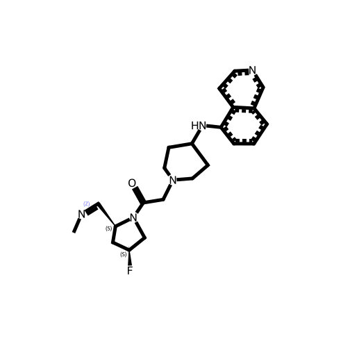 C/N=C\[C@@H]1C[C@H](F)CN1C(=O)CN1CCC(Nc2cccc3cnccc23)CC1